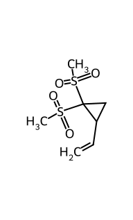 C=CC1CC1(S(C)(=O)=O)S(C)(=O)=O